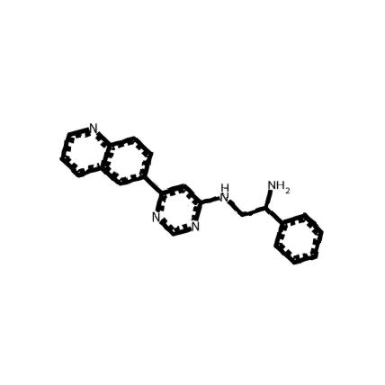 NC(CNc1cc(-c2ccc3ncccc3c2)ncn1)c1ccccc1